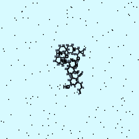 C#Cc1c(/C=C\C=C)cc(O)cc1-c1ccc2c(N3CC4CCC(C3)N4)nc(OCC3(CN4CCC5(CCCNC5=O)CC4)CC3)nc2c1F